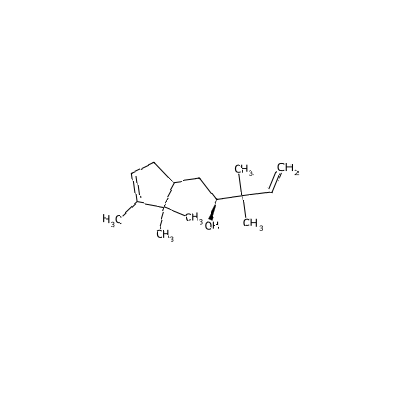 C=CC(C)(C)[C@@H](O)CC1CC=C(C)C1(C)C